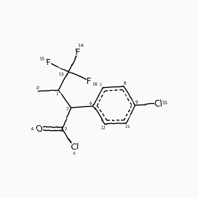 CC(C(C(=O)Cl)c1ccc(Cl)cc1)C(F)(F)F